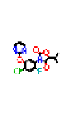 CC(C)=C1OC(=O)N(c2cc(Oc3ncccn3)c(Cl)cc2F)C1=O